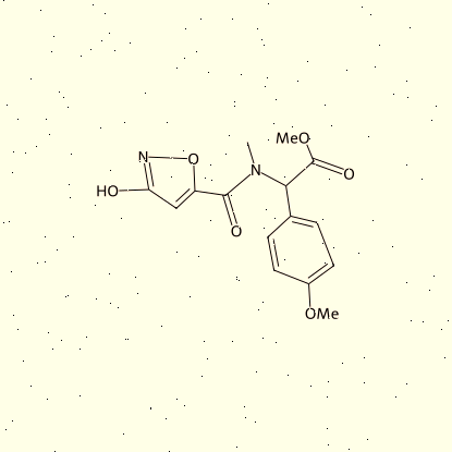 COC(=O)C(c1ccc(OC)cc1)N(C)C(=O)c1cc(O)no1